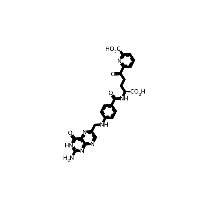 Nc1nc2ncc(CNc3ccc(C(=O)N[C@@H](CCC(=O)c4cccc(C(=O)O)n4)C(=O)O)cc3)nc2c(=O)[nH]1